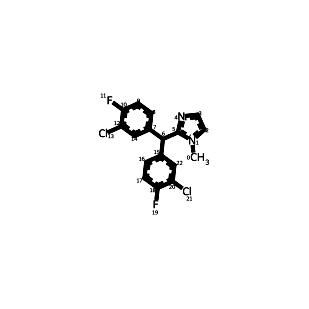 Cn1ccnc1C(c1ccc(F)c(Cl)c1)c1ccc(F)c(Cl)c1